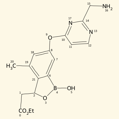 CCOC(=O)CC1OB(O)c2cc(Oc3ccnc(CN)n3)cc(C)c21